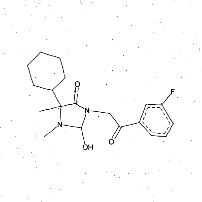 CN1C(O)N(CC(=O)c2cccc(F)c2)C(=O)C1(C)C1CCCCC1